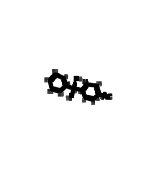 CC(=O)c1ccc(C(F)(F)c2ccccc2)cc1